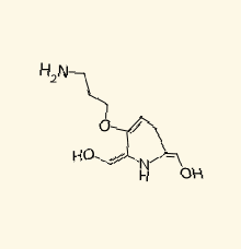 NCCCOC1=CCC(=CO)NC1=CO